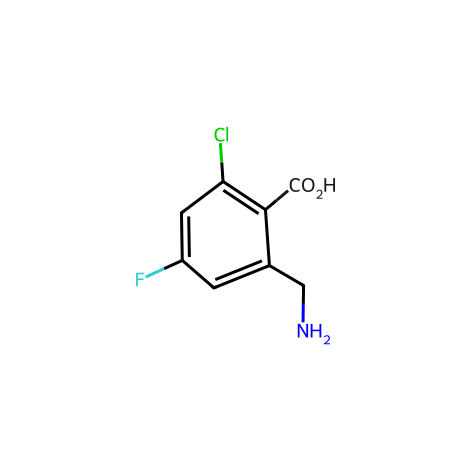 NCc1cc(F)cc(Cl)c1C(=O)O